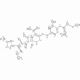 CCOC(=O)Cc1c(C)nc(SCC2=C(C(=O)O)N3C(=O)C(NC(=O)C(=NOC)c4csc(N)n4)[C@@H]3SC2)nc1O